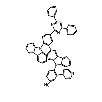 N#Cc1ccc(-n2c3ccccc3c3cc(-c4cc(-c5nc(-c6ccccc6)cc(-c6ccccc6)n5)ccc4-n4c5ccccc5c5ccccc54)ccc32)c(-c2ccncc2)c1